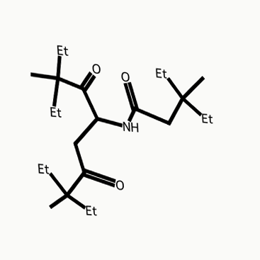 CCC(C)(CC)CC(=O)NC(CC(=O)C(C)(CC)CC)C(=O)C(C)(CC)CC